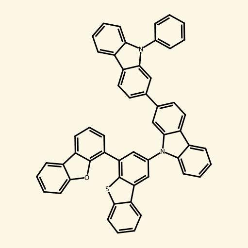 c1ccc(-n2c3ccccc3c3ccc(-c4ccc5c6ccccc6n(-c6cc(-c7cccc8c7oc7ccccc78)c7sc8ccccc8c7c6)c5c4)cc32)cc1